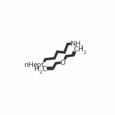 C=CCOCC=C.CCCCCCCCCCCCN